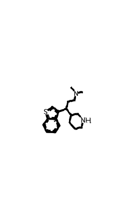 CN(C)CCC(c1csc2ccccc12)C1CCCNC1